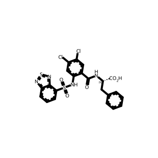 O=C(N[C@@H](Cc1ccccc1)C(=O)O)c1cc(Cl)c(Cl)cc1NS(=O)(=O)c1cccc2nsnc12